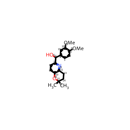 COc1ccc(C(O)c2ccc3c(n2)CCC(C)(C)O3)cc1OC